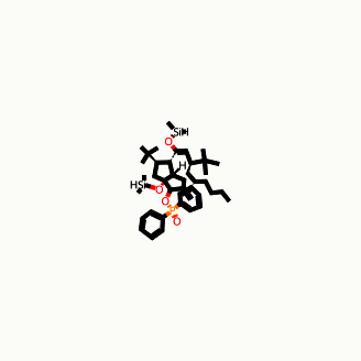 C=C1C[C@H]2[C@@H](C(=C[C@H](C[C@@H](C)CCCC)C(C)(C)C)O[SiH](C)C)[C@H](C(C)(C)C)C[C@@]2(O[SiH](C)C)C1OP(=O)(c1ccccc1)c1ccccc1